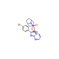 CCCCOC(=O)N1C2CCC1CN(Cc1c(-c3ccc(Br)cc3)nc3ncccn13)C2